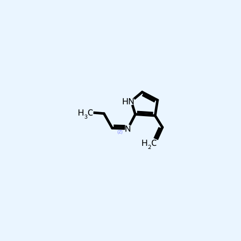 C=Cc1cc[nH]c1/N=C\CC